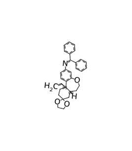 C=C[C@]12CCC3(C[C@H]1CCOc1cc(N=C(c4ccccc4)c4ccccc4)ccc12)OCCO3